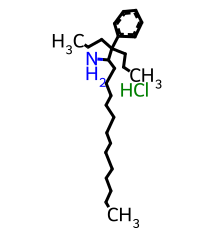 CCCCCCCCCCCCCC(N)C(CCC)(CCC)c1ccccc1.Cl